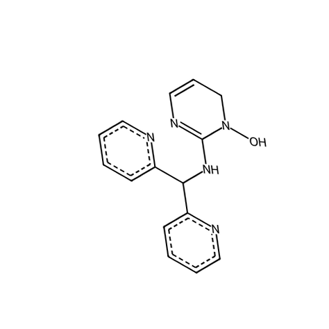 ON1CC=CN=C1NC(c1ccccn1)c1ccccn1